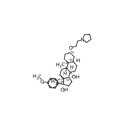 COc1ccc([C@]2(O)CC[C@]3(O)[C@@H]4CC[C@@H]5C[C@@H](OCCN6CCCC6)CC[C@]5(C)[C@H]4CC[C@]23C)cc1